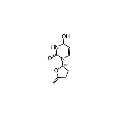 C=C1CC[C@H](N2C=CC(O)NC2=O)O1